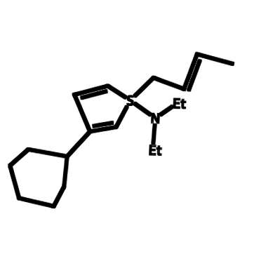 CC=CCS1(N(CC)CC)C=CC(C2CCCCC2)=C1